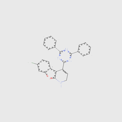 Clc1ccc2c3c(oc2c1)NCC=C3c1nc(-c2ccccc2)nc(-c2ccccc2)n1